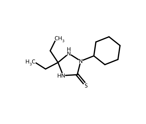 CCC1(CC)NC(=S)N(C2CCCCC2)N1